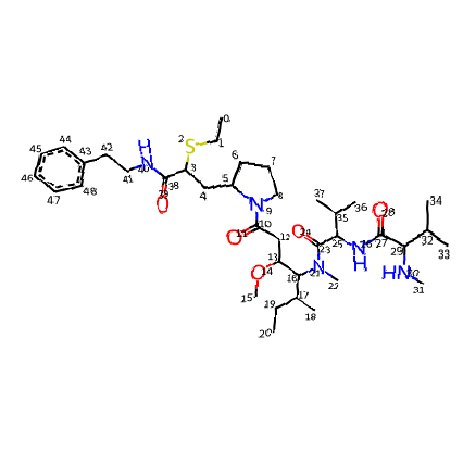 CCSC(CC1CCCN1C(=O)CC(OC)C(C(C)CC)N(C)C(=O)C(NC(=O)C(NC)C(C)C)C(C)C)C(=O)NCCc1ccccc1